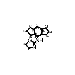 c1c2c(c(NC3=NCCO3)c3c1CCC3)CCC2